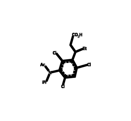 CCC(CC(=O)O)c1c(Cl)cc(Cl)c(N(C(C)=O)C(C)C)c1Cl